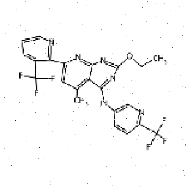 CCOc1nc(Nc2ccc(C(F)(F)F)nc2)c2c(C)cc(-c3ncccc3C(F)(F)F)nc2n1